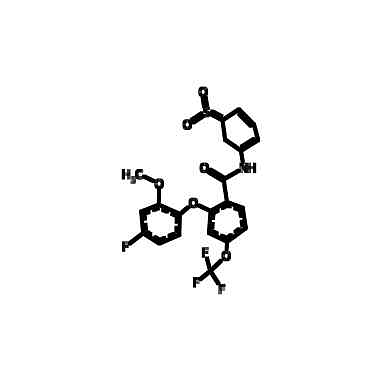 COc1cc(F)ccc1Oc1cc(OC(F)(F)F)ccc1C(=O)NC1=CC=CC(=S(=O)=O)C1